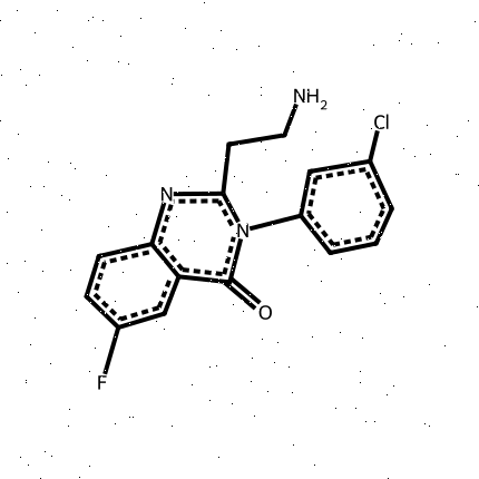 NCCc1nc2ccc(F)cc2c(=O)n1-c1cccc(Cl)c1